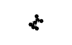 c1ccc(-c2cc(-c3ccccc3)nc(-c3cnc(-n4c5ccccc5c5ccc6c7ccccc7sc6c54)nc3)n2)cc1